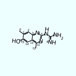 Cc1cc2nc(NC(=N)N)nc(C)c2cc1O